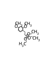 CCO[Si](CCc1ccc(OC)cc1OC)(OCC)OCC